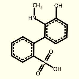 CNc1c(O)cccc1-c1ccccc1S(=O)(=O)O